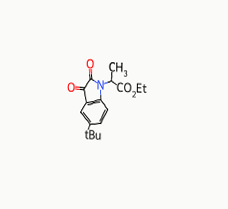 CCOC(=O)C(C)N1C(=O)C(=O)c2cc(C(C)(C)C)ccc21